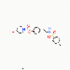 Cc1ccc(S(=O)(=O)NCCc2ccc(OC(=O)N3CCC(O)CC3)cc2)cc1